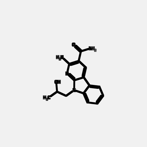 CC(O)Cn1c2ccccc2c2cc(C(N)=O)c(N)nc21